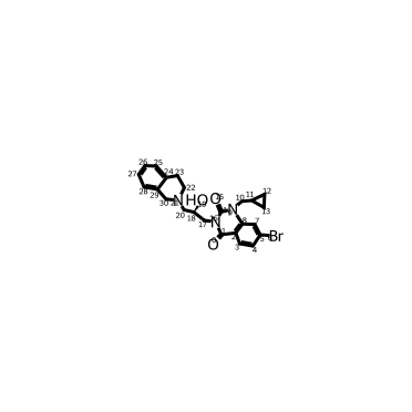 O=c1c2ccc(Br)cc2n(CC2CC2)c(=O)n1C[C@H](O)CN1CCc2ccccc2C1